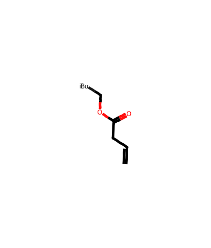 C=CCC(=O)OCC(C)CC